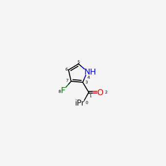 CC(C)C(=O)c1[nH]ccc1F